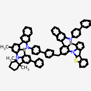 Cc1cc2c3c(c1)N1c4c(cc(-c5ccccc5)cc4C4(C)CCCCC14C)B3N(c1ccc(-c3ccc(Cc4cc5c6c(c4)N4c7c(cccc7C7c8ccccc8SC74)B6N(c4ccc(-c6ccccc6)cc4)c4cc6ccccc6cc4-5)cc3)cc1)c1cc3ccccc3cc1-2